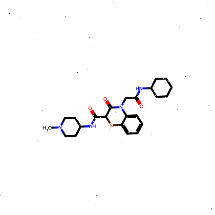 CN1CCC(NC(=O)C2Sc3ccccc3N(CC(=O)NC3CCCCC3)C2=O)CC1